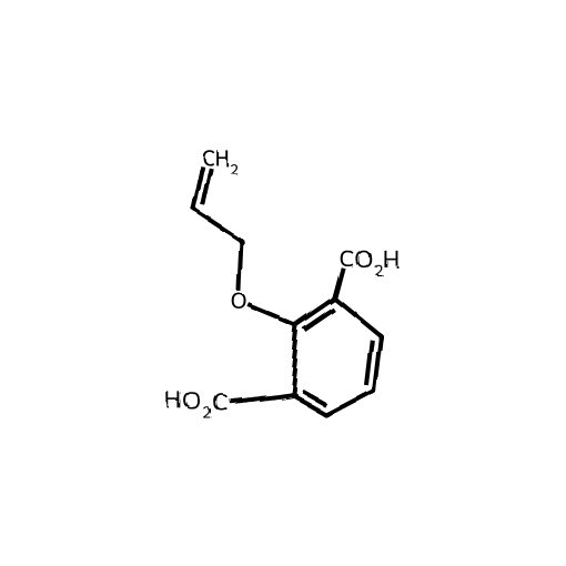 C=CCOc1c(C(=O)O)cccc1C(=O)O